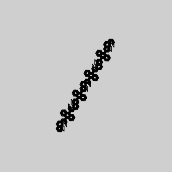 c1cnc2c(c1)ccc1cc(-c3c4ccccc4c(-c4cnc5c(ccc6cc(-c7c8ccccc8c(-c8cnc9c(ccc%10cc(-c%11c%12ccccc%12c(-c%12cnc%13c(ccc%14cc(-c%15c%16ccccc%16c(-c%16cnc%17c(ccc%18cccnc%18%17)c%16)c%16ccccc%15%16)cnc%14%13)c%12)c%12ccccc%11%12)cnc%109)c8)c8ccccc78)cnc65)c4)c4ccccc34)cnc12